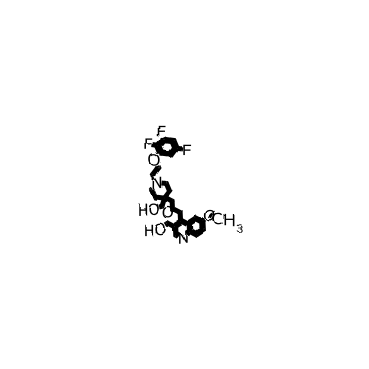 COc1ccc2ncc(CO)c(CCCC3(C(=O)O)CCN(CCOc4cc(F)cc(F)c4F)CC3)c2c1